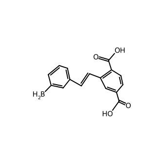 Bc1cccc(/C=C/c2cc(C(=O)O)ccc2C(=O)O)c1